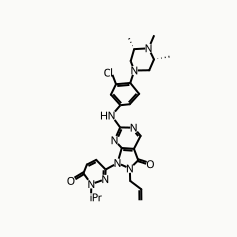 C=CCn1c(=O)c2cnc(Nc3ccc(N4C[C@@H](C)N(C)[C@@H](C)C4)c(Cl)c3)nc2n1-c1ccc(=O)n(C(C)C)n1